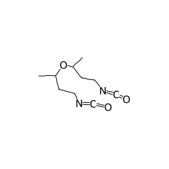 CC(CCN=C=O)OC(C)CCN=C=O